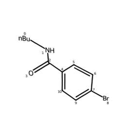 CCCCNC(=O)c1ccc(Br)cc1